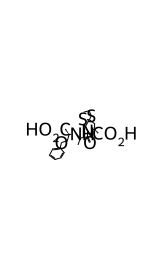 CC(N[C@@H](COc1ccccc1)C(=O)O)C(=O)N1CC2(C[C@H]1C(=O)O)SCCS2